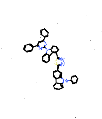 c1ccc(-c2cc(-c3ccccc3)nc(-n3c4ccccc4c4c(-c5nnc(-c6ccc7c8ccccc8n(-c8ccccc8)c7c6)s5)cccc43)n2)cc1